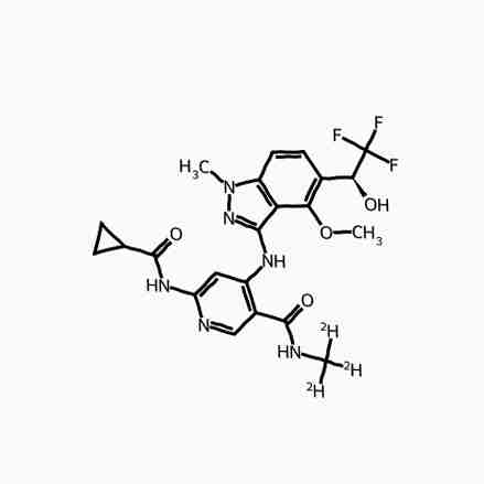 [2H]C([2H])([2H])NC(=O)c1cnc(NC(=O)C2CC2)cc1Nc1nn(C)c2ccc([C@H](O)C(F)(F)F)c(OC)c12